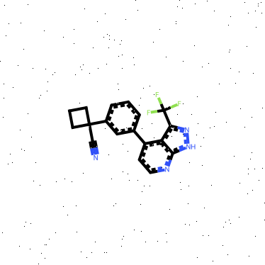 N#CC1(c2cccc(-c3ccnc4[nH]nc(C(F)(F)F)c34)c2)CCC1